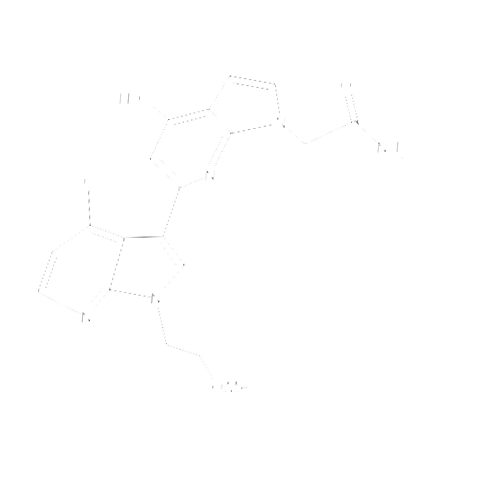 COCCn1cc(-c2cc(C)c3ccn(CC(N)=O)c3n2)c2c(C)ccnc21